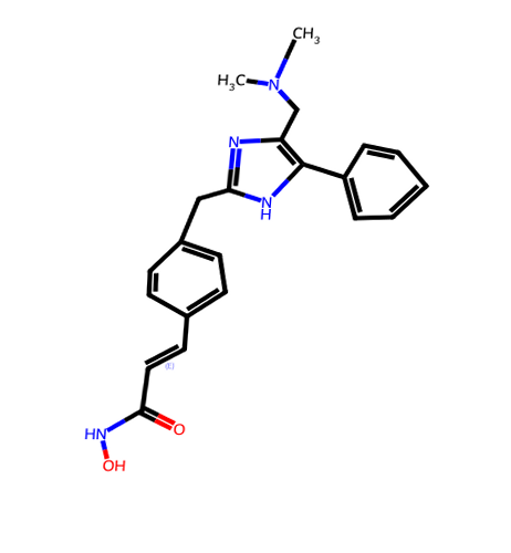 CN(C)Cc1nc(Cc2ccc(/C=C/C(=O)NO)cc2)[nH]c1-c1ccccc1